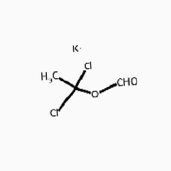 CC(Cl)(Cl)OC=O.[K]